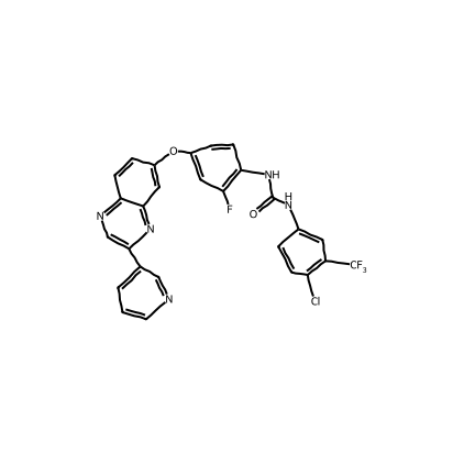 O=C(Nc1ccc(Cl)c(C(F)(F)F)c1)Nc1ccc(Oc2ccc3ncc(-c4cccnc4)nc3c2)cc1F